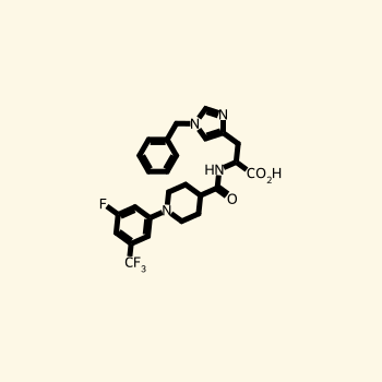 O=C(NC(Cc1cn(Cc2ccccc2)cn1)C(=O)O)C1CCN(c2cc(F)cc(C(F)(F)F)c2)CC1